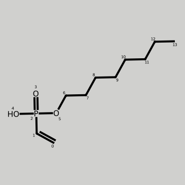 C=CP(=O)(O)OCCCCCCCC